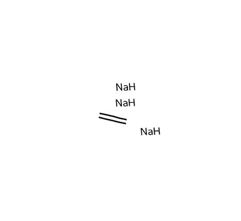 C=C.[NaH].[NaH].[NaH]